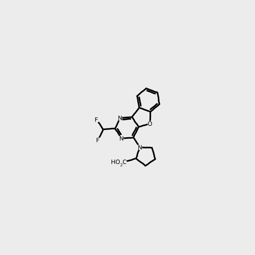 O=C(O)C1CCCN1c1nc(C(F)F)nc2c1oc1ccccc12